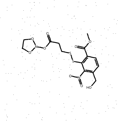 COC(=O)c1ccc(CO)c([N+](=O)[O-])c1SSCCC(=O)ON1OCCO1